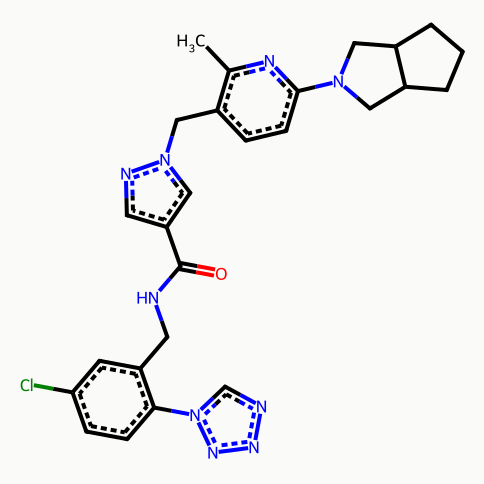 Cc1nc(N2CC3CCCC3C2)ccc1Cn1cc(C(=O)NCc2cc(Cl)ccc2-n2cnnn2)cn1